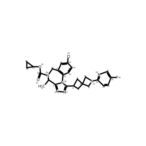 CC1c2nnc(C3CC4(C3)CN(c3ccc(F)cn3)C4)n2-c2ccc(Cl)cc2CN1C(=O)OC1CC1